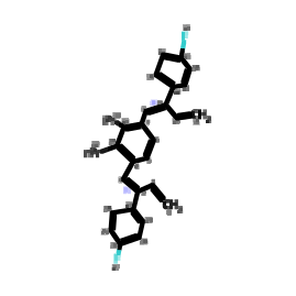 C=C/C(=C\c1ccc(/C=C(\C=C)c2ccc(F)cc2)c(C(C)C)c1CCC)c1ccc(F)cc1